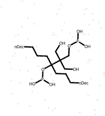 CCCCCCCCCCCCCC(CCCCCCCCCCCCC)(OP(O)O)C(CO)(CO)COP(O)O